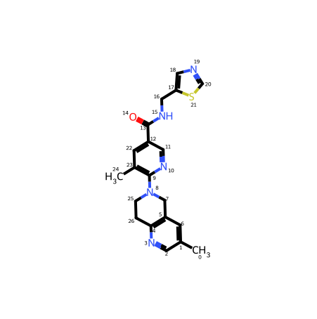 Cc1cnc2c(c1)CN(c1ncc(C(=O)NCc3cncs3)cc1C)CC2